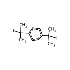 CC(C)(I)c1ccc(C(C)(C)I)cc1